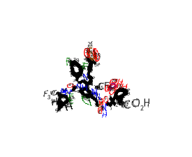 CC(C)(CC(=O)NS(=O)(=O)Cc1nn(CC(F)(F)F)c2c(-c3ccc(C#CC(C)(C)S(C)(=O)=O)nc3[C@H](Cc3cc(F)cc(F)c3)NC(=O)Cn3nc(C(F)(F)F)c4c3C(F)(F)[C@@H]3C[C@H]43)ccc(Cl)c12)c1c(CC(=O)O)cccc1OP(=O)(O)O